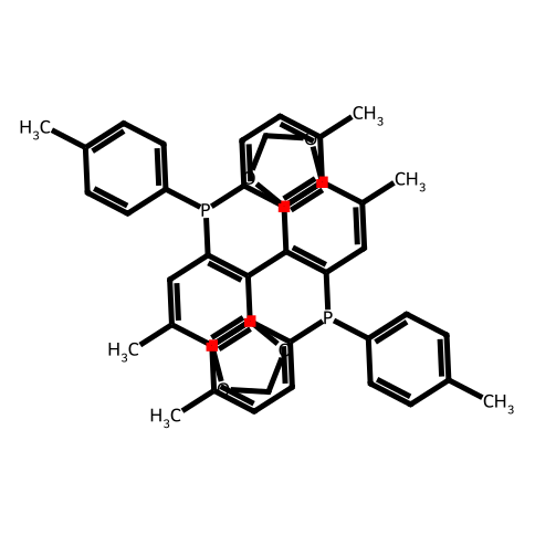 Cc1ccc(P(c2ccc(C)cc2)c2cc(C)c3c(c2-c2c(P(c4ccc(C)cc4)c4ccc(C)cc4)cc(C)c4c2OCO4)OCO3)cc1